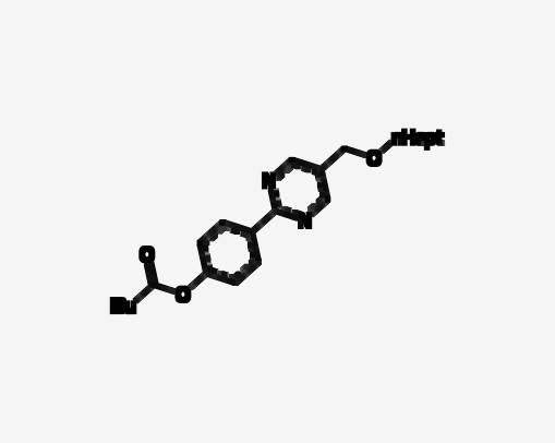 CCCCCCCOCc1cnc(-c2ccc(OC(=O)C(C)CC)cc2)nc1